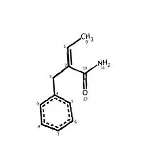 C/C=C(/Cc1ccccc1)C(N)=O